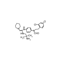 CC(C)(N)CN/C(=C/N1CCCCC1)Nc1ccc(N(C=O)CCc2ccc(Cl)cc2Cl)cc1